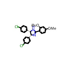 COc1ccc(C2=N[C@H](c3ccc(Cl)cc3)[C@H](c3ccc(Cl)cc3)N2)c(OCC(C)C)c1